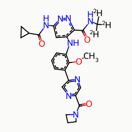 [2H]C([2H])([2H])NC(=O)c1nnc(NC(=O)C2CC2)cc1Nc1cccc(-c2cnc(C(=O)N3CCC3)cn2)c1OC